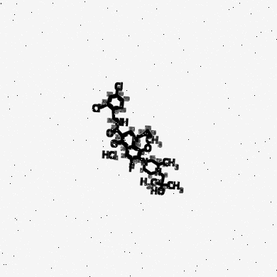 COc1c(N2CCN(CC(C)(C)O)C(C)C2)c(F)cc2c(=O)c(C(=O)NCc3ccc(Cl)cc3Cl)cn(C3CC3)c12.Cl